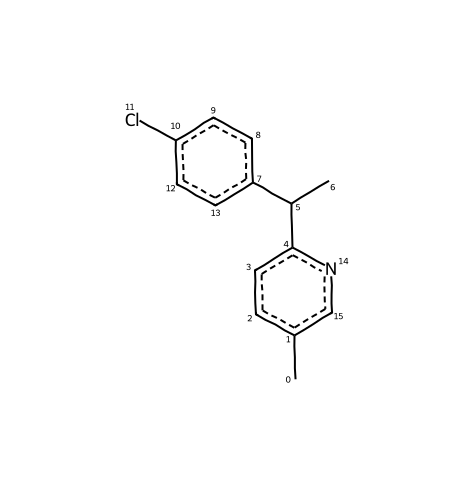 Cc1ccc(C(C)c2ccc(Cl)cc2)nc1